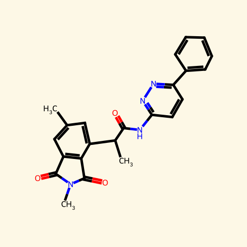 Cc1cc2c(c(C(C)C(=O)Nc3ccc(-c4ccccc4)nn3)c1)C(=O)N(C)C2=O